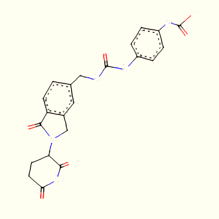 O=C(O)Nc1ccc(NC(=O)NCc2ccc3c(c2)CN(C2CCC(=O)NC2=O)C3=O)cc1